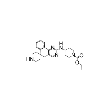 CCOC(=O)N1CCC(Nc2ncc3c(n2)-c2ccccc2C2(CCNCC2)C3)CC1